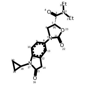 CCN(CC)C(=O)[C@H]1CN(c2ccc3c(c2)CC(=O)N3C2CC2)C(=O)O1